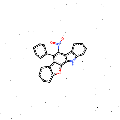 O=[N+]([O-])c1c(-c2ccccc2)c2c3ccccc3oc2c2[nH]c3ccccc3c12